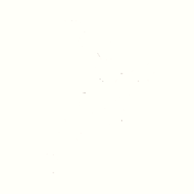 c1ccc(-c2ccc(-c3ccc(N(c4ccc(-c5ccccc5)cc4)c4c(-c5ccccc5)c5ccccc5c5sc6ccccc6c45)cc3)cc2)cc1